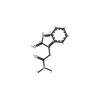 CN(C)C(=O)CC1=c2ccccc2=NC1=O